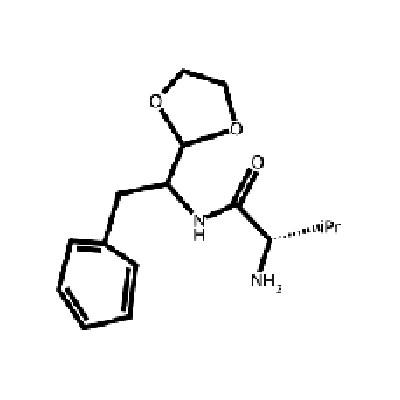 CC(C)[C@H](N)C(=O)NC(Cc1ccccc1)C1OCCO1